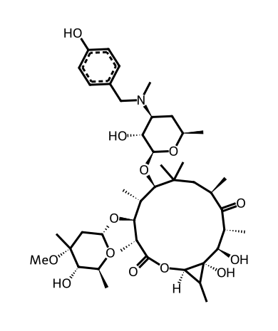 CO[C@]1(C)C[C@H](O[C@H]2[C@H](C)[C@@H](O[C@@H]3O[C@H](C)C[C@H](N(C)Cc4ccc(O)cc4)[C@H]3O)C(C)(C)C[C@@H](C)C(=O)[C@H](C)[C@@H](O)[C@@]3(O)C(C)[C@H]3OC(=O)[C@@H]2C)O[C@@H](C)[C@@H]1O